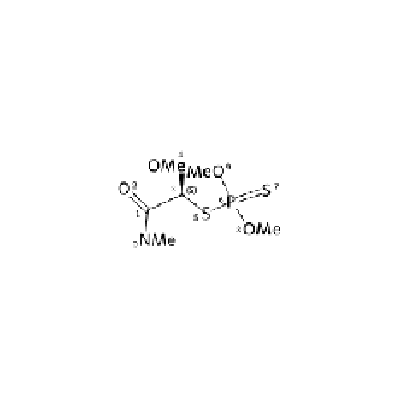 CNC(=O)[C@@H](OC)SP(=S)(OC)OC